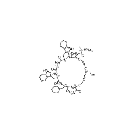 C=CCN1CC#CCN(NC(=O)[C@H](C)NC(C)=O)C(=O)N[C@H](Cc2c[nH]c3ccccc23)C(=O)N[C@@H](C)C(=O)N[C@@H](Cc2c[nH]c3ccccc23)C(=O)N[C@H](Cc2ccccc2)C(=O)N[C@H](C(N)=O)CCCC1